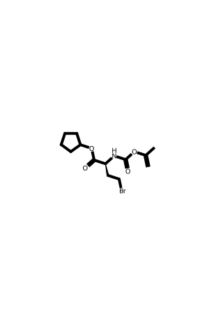 C=C(C)OC(=O)N[C@@H](CCBr)C(=O)OC1CCCC1